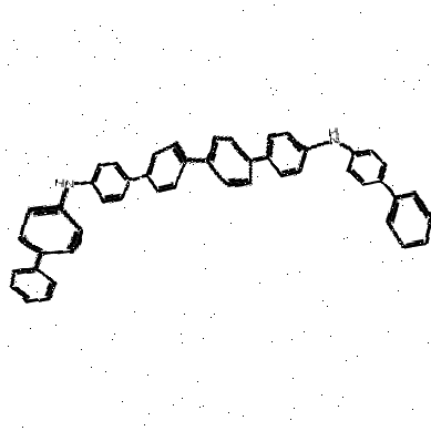 c1ccc(-c2ccc(Nc3ccc(-c4ccc(-c5ccc(-c6ccc(Nc7ccc(-c8ccccc8)cc7)cc6)cc5)cc4)cc3)cc2)cc1